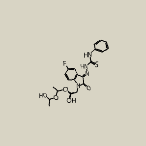 CC(O)OC(C)OC(O)CN1C(=O)/C(=N/NC(=S)Nc2ccccc2)c2cc(F)ccc21